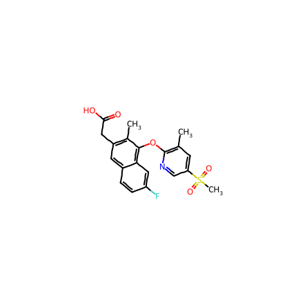 Cc1cc(S(C)(=O)=O)cnc1Oc1c(C)c(CC(=O)O)cc2ccc(F)cc12